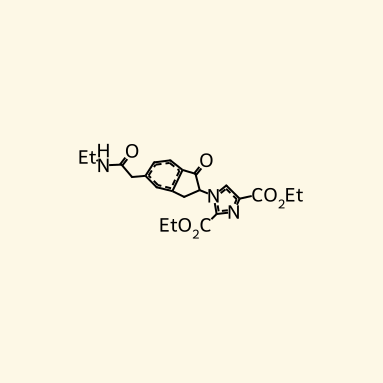 CCNC(=O)Cc1ccc2c(c1)CC(n1cc(C(=O)OCC)nc1C(=O)OCC)C2=O